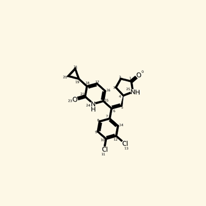 O=C1CC[C@H](C=C(c2ccc(Cl)c(Cl)c2)c2ccc(C3CC3)c(=O)[nH]2)N1